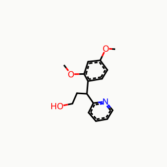 COc1ccc(C(CCO)c2ccccn2)c(OC)c1